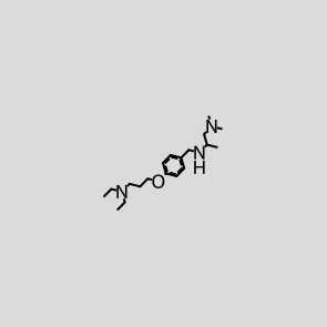 CCN(CC)CCCOc1ccc(CNC(C)CN(C)C)cc1